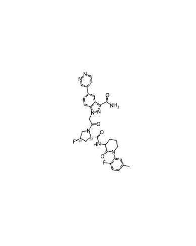 Cc1ccc(F)c(N2CCCC(NC(=O)[C@@H]3C[C@@H](F)CN3C(=O)Cn3nc(C(N)=O)c4cc(-c5ccnnc5)ccc43)C2=O)c1